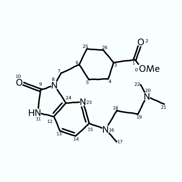 COC(=O)C1CCC(Cn2c(=O)[nH]c3ccc(N(C)CCN(C)C)nc32)CC1